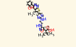 Cc1c(-c2cnc(NCCNc3cc(C(C(=O)O)C(C)C)on3)nc2)sc2nnc(-c3ccccc3O)cc12